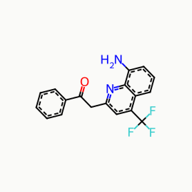 Nc1cccc2c(C(F)(F)F)cc(CC(=O)c3ccccc3)nc12